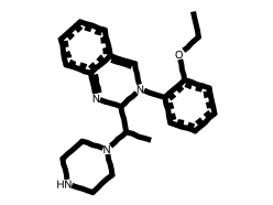 CCOc1ccccc1N1C=c2ccccc2=NC1C(C)N1CCNCC1